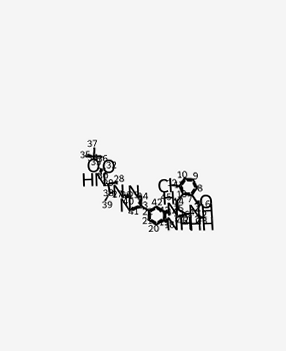 [2H]C([2H])([2H])N1C(=O)c2cccc(Cl)c2[C@H]2C[C@@H]1c1nc3ccc(-c4cnc(N5C[C@@H](NC(=O)OC(C)(C)C)[C@@H]5C)nc4)cc3n12